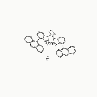 CC1=Cc2c(-c3c4ccccc4cc4ccccc34)cccc2[CH]1[Hf+2]1([CH]2C(C)=Cc3c(-c4c5ccccc5cc5ccccc45)cccc32)[CH2]C[CH2]1.[Cl-].[Cl-]